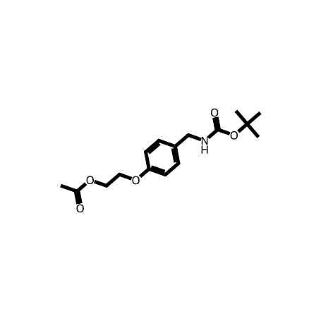 CC(=O)OCCOc1ccc(CNC(=O)OC(C)(C)C)cc1